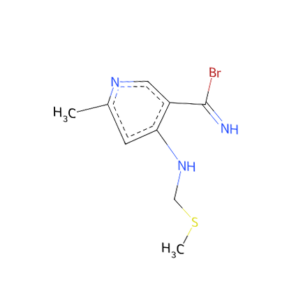 CSCNc1cc(C)ncc1C(=N)Br